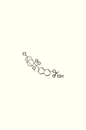 COC1(c2ccc3ccc(OP(C)(=O)O)cc3c2)OOC12C1CC3CC2CC(Cl)(C3)C1